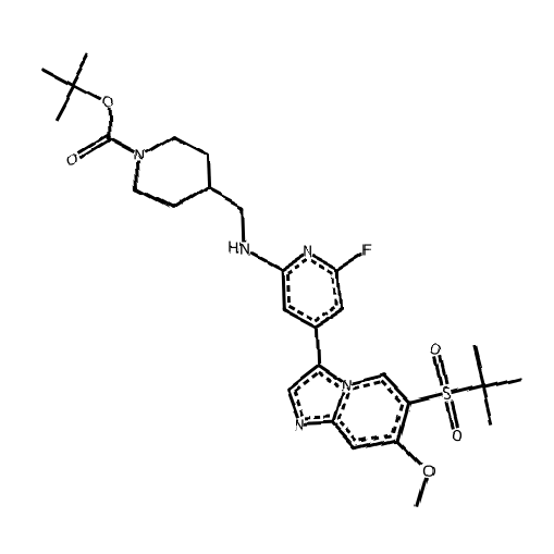 COc1cc2ncc(-c3cc(F)nc(NCC4CCN(C(=O)OC(C)(C)C)CC4)c3)n2cc1S(=O)(=O)C(C)(C)C